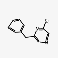 CCc1cncc(Cc2ccccc2)n1